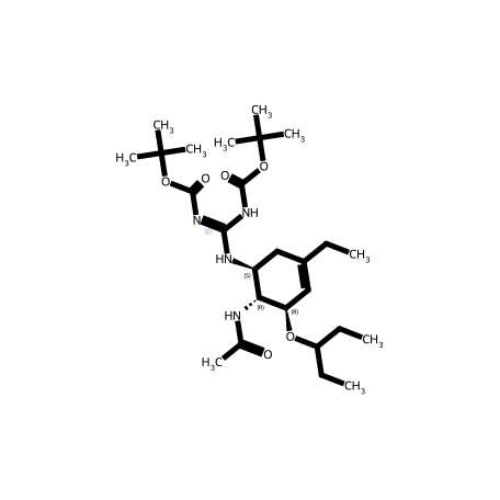 CCC1=C[C@@H](OC(CC)CC)[C@H](NC(C)=O)[C@@H](N/C(=N/C(=O)OC(C)(C)C)NC(=O)OC(C)(C)C)C1